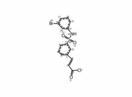 O=C(Cl)C=Cc1cccc(S(=O)(=O)Nc2cccc(Br)c2)c1